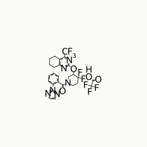 O=C(O)C(F)(F)F.O=C(c1ccccc1-n1nccn1)N1CCC(F)(F)C(Oc2nc3c(c(C(F)(F)F)n2)CCCC3)C1